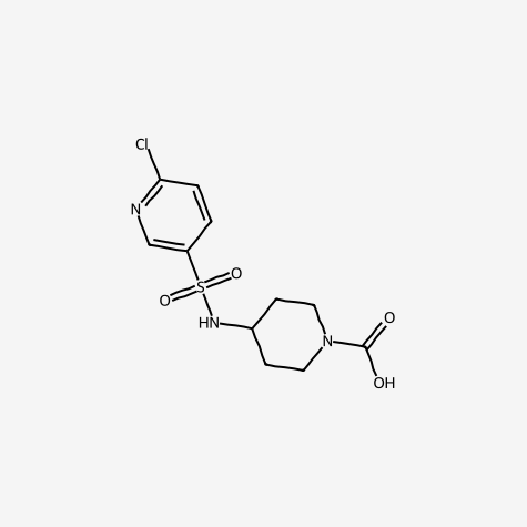 O=C(O)N1CCC(NS(=O)(=O)c2ccc(Cl)nc2)CC1